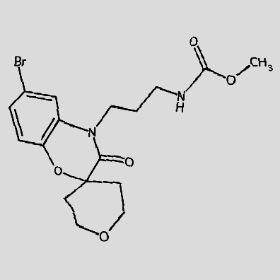 COC(=O)NCCCN1C(=O)C2(CCOCC2)Oc2ccc(Br)cc21